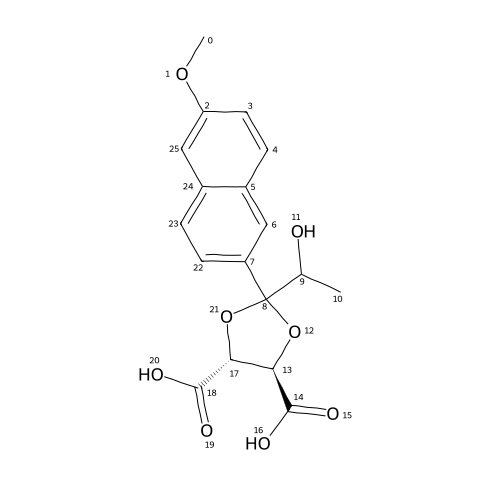 COc1ccc2cc(C3(C(C)O)O[C@@H](C(=O)O)[C@H](C(=O)O)O3)ccc2c1